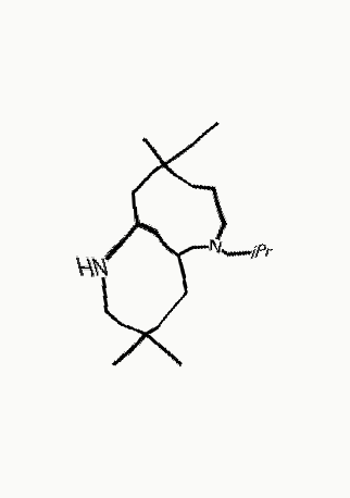 CC(C)N1CC(C)(C)CC2NCC(C)(C)CC21